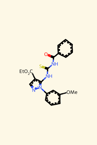 CCOC(=O)c1cnn(-c2cccc(OC)c2)c1NC(=S)NC(=O)c1ccccc1